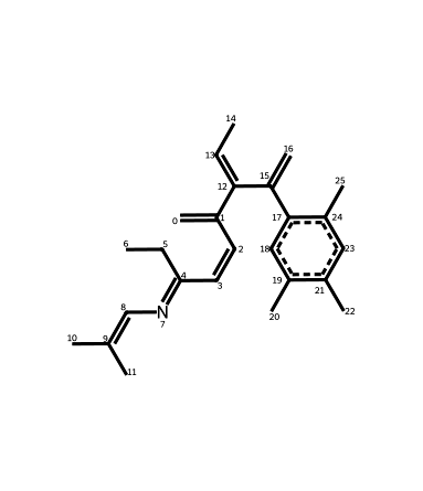 C=C(/C=C\C(CC)=N\C=C(C)C)/C(=C/C)C(=C)c1cc(C)c(C)cc1C